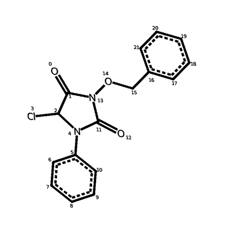 O=C1C(Cl)N(c2ccccc2)C(=O)N1OCc1ccccc1